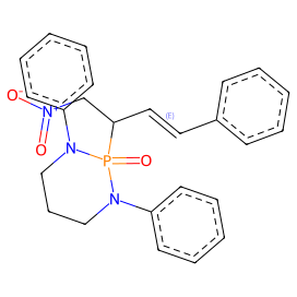 O=[N+]([O-])CC(/C=C/c1ccccc1)P1(=O)N(c2ccccc2)CCCN1c1ccccc1